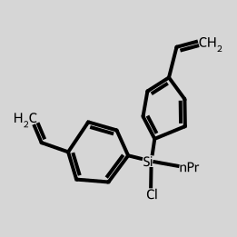 C=Cc1ccc([Si](Cl)(CCC)c2ccc(C=C)cc2)cc1